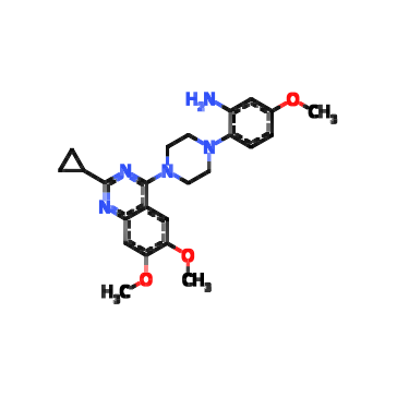 COc1ccc(N2CCN(c3nc(C4CC4)nc4cc(OC)c(OC)cc34)CC2)c(N)c1